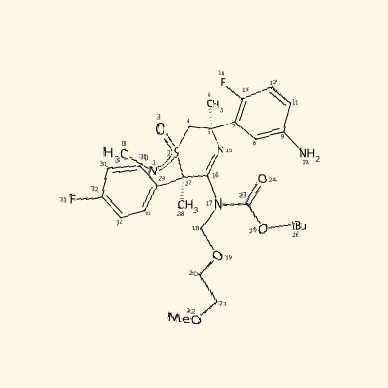 CN=S1(=O)C[C@@](C)(c2cc(N)ccc2F)N=C(N(COCCOC)C(=O)OC(C)(C)C)[C@@]1(C)c1ccc(F)cc1